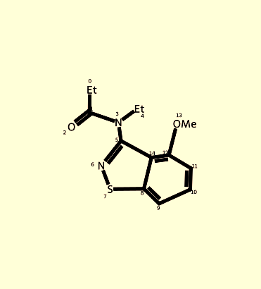 CCC(=O)N(CC)c1nsc2cccc(OC)c12